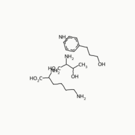 CC(O)C(N)C(=O)O.N.NCCCCC(N)C(=O)O.OCCCc1ccccc1